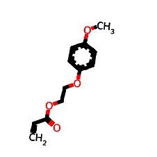 C=CC(=O)OCCOc1ccc(OC)cc1